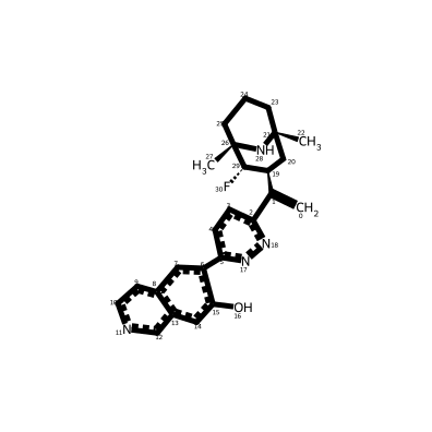 C=C(c1ccc(-c2cc3ccncc3cc2O)nn1)[C@@H]1C[C@@]2(C)CCC[C@](C)(N2)[C@H]1F